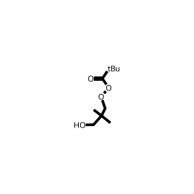 CC(C)(CO)COOC(=O)C(C)(C)C